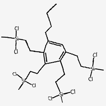 CCCCc1cc(CC[Si](C)(Cl)Cl)c(CC[Si](C)(Cl)Cl)c(CC[Si](C)(Cl)Cl)c1CC[Si](C)(Cl)Cl